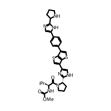 COC(=O)N[C@H](C(=O)N1CCC[C@H]1c1nc(-c2csc3c(-c4ccc(-c5cnc(C6CCCN6)[nH]5)cc4)csc23)c[nH]1)C(C)C